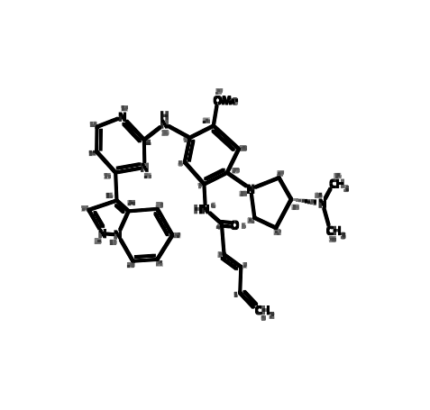 C=C/C=C/C(=O)Nc1cc(Nc2nccc(-c3cnn4ccccc34)n2)c(OC)cc1N1CC[C@@H](N(C)C)C1